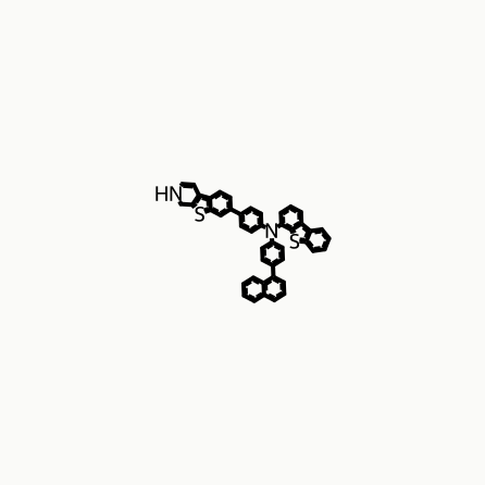 C1=Cc2c(sc3cc(-c4ccc(N(c5ccc(-c6cccc7ccccc67)cc5)c5cccc6c5sc5ccccc56)cc4)ccc23)CN1